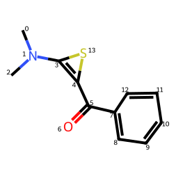 CN(C)C1=C(C(=O)c2ccccc2)S1